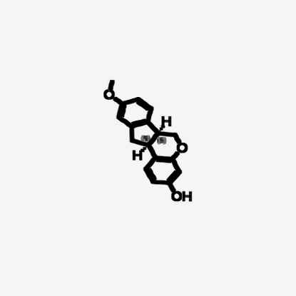 COc1ccc2c(c1)C[C@@H]1c3ccc(O)cc3OC[C@H]21